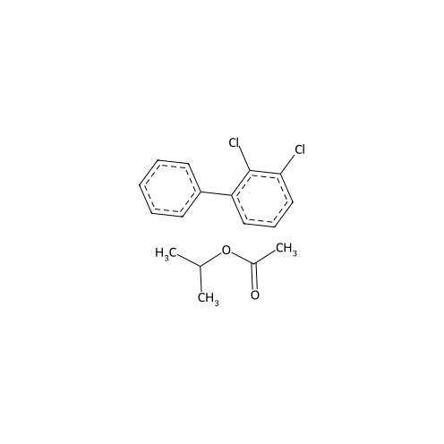 CC(=O)OC(C)C.Clc1cccc(-c2ccccc2)c1Cl